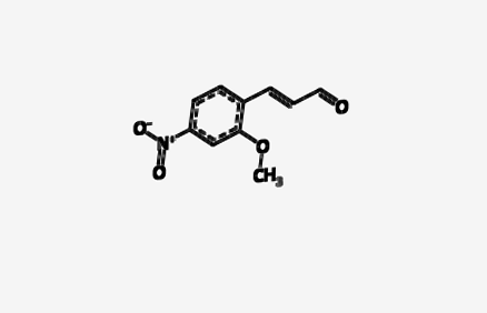 COc1cc([N+](=O)[O-])ccc1/C=C/C=O